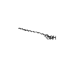 CCCCCC=CCC=CCC=CCC=CCCCCOCC(O)CO